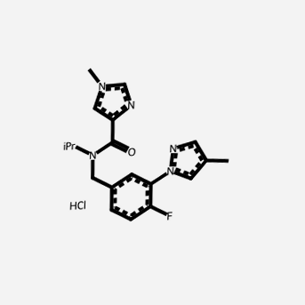 Cc1cnn(-c2cc(CN(C(=O)c3cn(C)cn3)C(C)C)ccc2F)c1.Cl